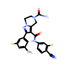 Cc1cc(F)cc(-c2nn3c(c2C(=O)Nc2ccc(C#N)c(F)c2)CN(C(N)=O)CC3)c1